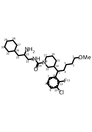 COCCCCC(c1cccc(Cl)c1F)C1CCCN(C(=O)NCC(N)CC2CCCCC2)C1